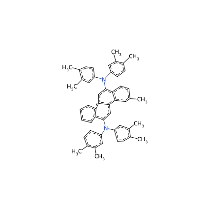 Cc1ccc2c(N(c3ccc(C)c(C)c3)c3ccc(C)c(C)c3)cc3c4ccccc4c(N(c4ccc(C)c(C)c4)c4ccc(C)c(C)c4)cc3c2c1